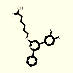 O=C(O)CCCCCOc1cc(-c2ccc(Cl)c(Cl)c2)cc(-c2ccccc2)n1